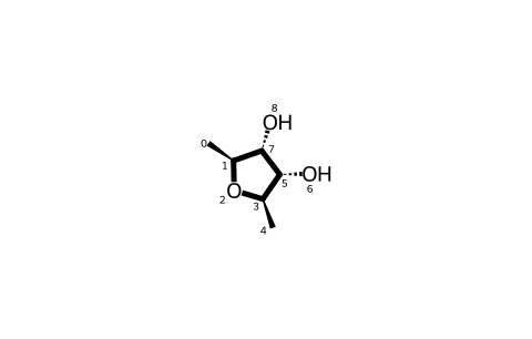 C[C@@H]1O[C@H](C)[C@@H](O)[C@H]1O